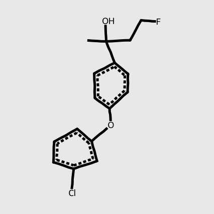 CC(O)(CCF)c1ccc(Oc2cccc(Cl)c2)cc1